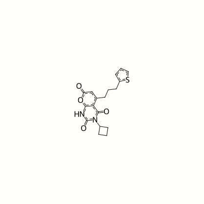 O=c1cc(CCCc2cccs2)c2c(=O)n(C3CCC3)c(=O)[nH]c2o1